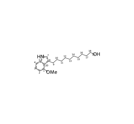 COc1cccc2[nH]cc(CCCCCCCCCCO)c12